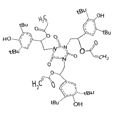 C=CC(=O)OC(Cn1c(=O)n(CC(OC(=O)C=C)c2cc(C(C)(C)C)c(O)c(C(C)(C)C)c2)c(=O)n(CC(OC(=O)C=C)c2cc(C(C)(C)C)c(O)c(C(C)(C)C)c2)c1=O)c1cc(C(C)(C)C)c(O)c(C(C)(C)C)c1